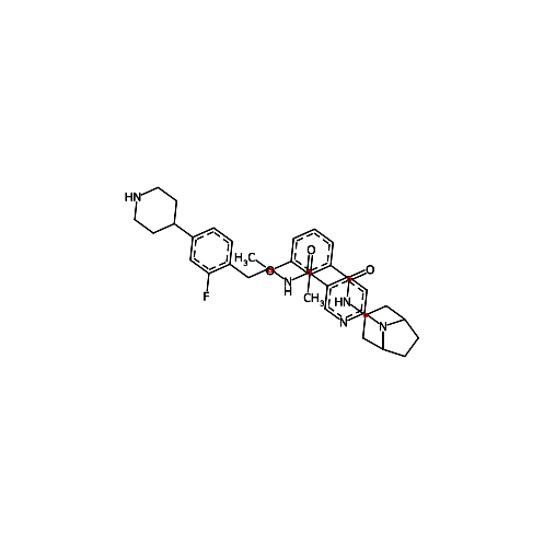 COc1cccc(C(=O)NC2CC3CCC(C2)N3c2ccc(C(=O)NCCc3ccc(C4CCNCC4)cc3F)cn2)c1C